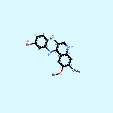 CCOc1cc2c(Nc3cccc(Br)c3)c(C#N)cnc2cc1OC